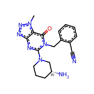 Cn1nnc2nc(N3CCC[C@@H](N)C3)n(Cc3ccccc3C#N)c(=O)c21